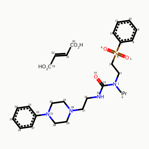 CC(C)N(CCS(=O)(=O)c1ccccc1)C(=O)NCCN1CCN(c2ccccc2)CC1.O=C(O)C=CC(=O)O